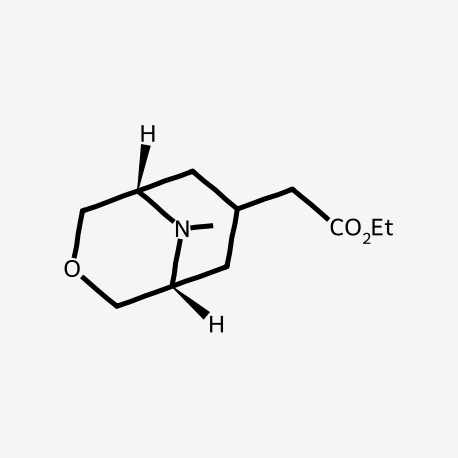 CCOC(=O)CC1C[C@H]2COC[C@@H](C1)N2C